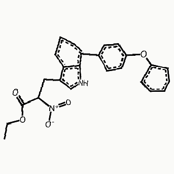 CCOC(=O)C(Cc1c[nH]c2c(-c3ccc(Oc4ccccc4)cc3)cccc12)[N+](=O)[O-]